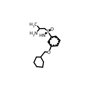 CC(N)CS(=N)(=O)c1cccc(OCC2CCCCC2)c1